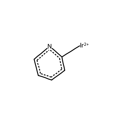 [Ir+2][c]1ccccn1